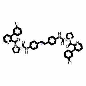 O=C(Nc1ccc(/C=C/c2ccc(NC(=O)[C@@H]3CCCN3C(=O)c3ncccc3-c3cccc(Cl)c3)cc2)cc1)[C@@H]1CCCN1C(=O)c1ncccc1-c1cccc(Cl)c1